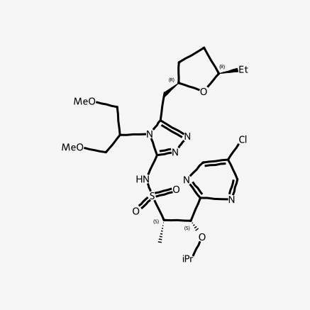 CC[C@@H]1CC[C@H](Cc2nnc(NS(=O)(=O)[C@@H](C)[C@@H](OC(C)C)c3ncc(Cl)cn3)n2C(COC)COC)O1